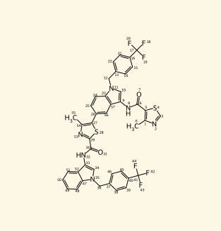 Cc1ncsc1C(=O)Nc1cn(Cc2ccc(C(F)(F)F)cc2)c2ccc(-c3sc(C(=O)Nc4cn(Cc5ccc(C(F)(F)F)cc5)c5ccccc45)nc3C)cc12